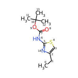 C[CH]c1csc(NC(=O)OC(C)(C)C)n1